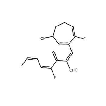 C=C(/C(F)=C\C=C/C)/C(C=O)=C\C1=CC(Cl)CCC=C1F